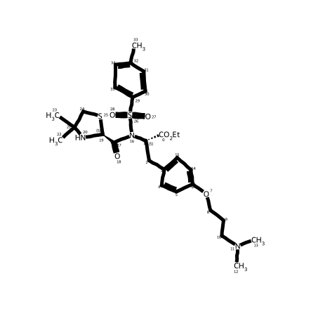 CCOC(=O)[C@H](Cc1ccc(OCCCN(C)C)cc1)N(C(=O)[C@H]1NC(C)(C)CS1)S(=O)(=O)c1ccc(C)cc1